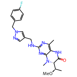 CO[C@H](C)[C@H]1C(=O)Nc2c(C)nc(NCc3cnn(Cc4ccc(F)cc4)c3)nc2N1C